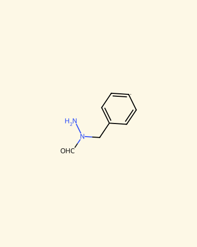 NN(C=O)Cc1cc[c]cc1